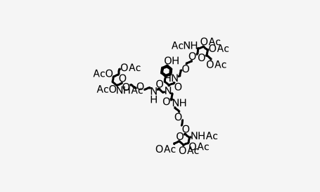 CC(=O)NC1C(OCCOCCNC(=O)CN(CC(=O)NCCOCCOC2OC(COC(C)=O)C(OC(C)=O)CC2(NC(C)=O)OC(C)=O)C(Cc2ccc(O)cc2)C(=O)NCCOCCOC2OC(COC(C)=O)C(OC(C)=O)C(OC(C)=O)C2NC(C)=O)OC(COC(C)=O)C(OC(C)=O)C1OC(C)=O